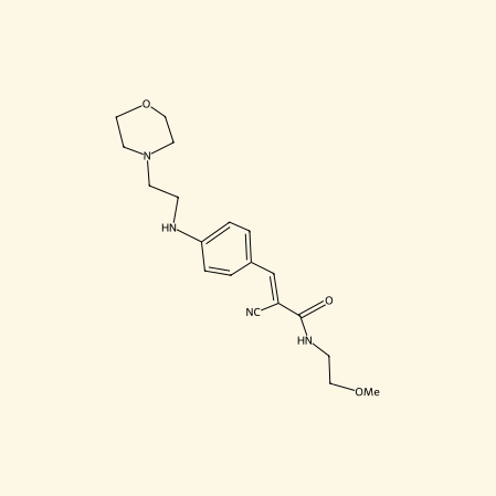 COCCNC(=O)/C(C#N)=C/c1ccc(NCCN2CCOCC2)cc1